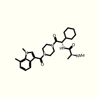 CN[C@@H](C)C(=O)N[C@H](C(=O)N1CCN(C(=O)c2cn(C)c3c(C)cccc23)CC1)C1CCCCC1